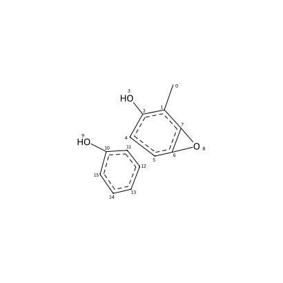 Cc1c(O)ccc2c1O2.Oc1ccccc1